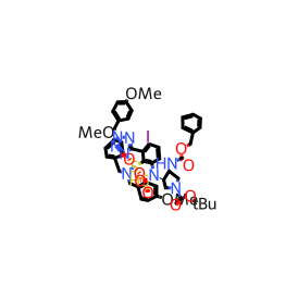 COc1ccc(CN(Cc2ccc(OC)cc2)S(=O)(=O)c2c(N([C@H]3CN(C(=O)OC(C)(C)C)C[C@@H]3NC(=O)OCc3ccccc3)[SH](=O)=O)ccc(I)c2-c2nnn(Cc3ccc(OC)cc3)n2)cc1